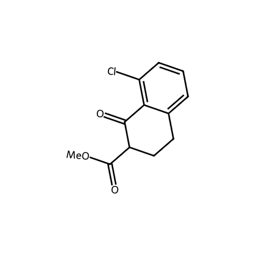 COC(=O)C1CCc2cccc(Cl)c2C1=O